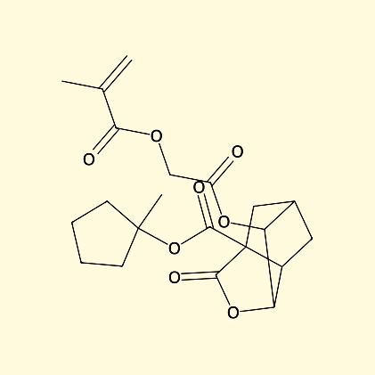 C=C(C)C(=O)OCC(=O)OC1C2CC3C1OC(=O)C3(C(=O)OC1(C)CCCC1)C2